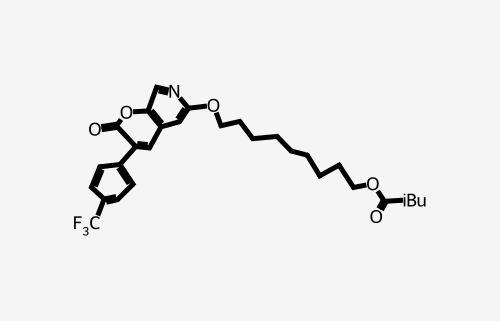 CCC(C)C(=O)OCCCCCCCCCOc1cc2cc(-c3ccc(C(F)(F)F)cc3)c(=O)oc2cn1